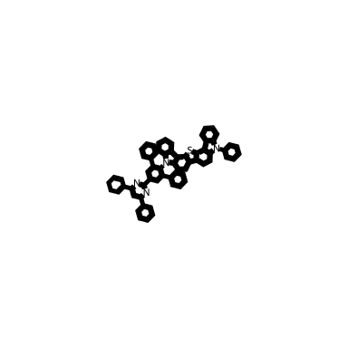 C1=CC(c2cc(-c3ccccc3)nc(-c3cc(-c4ccccc4)c(-n4c5ccccc5c5c6sc7c(ccc8c7c7ccccc7n8-c7ccccc7)c6ccc54)c(-c4ccccc4)c3)n2)=CCC1